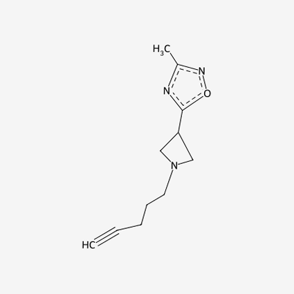 C#CCCCN1CC(c2nc(C)no2)C1